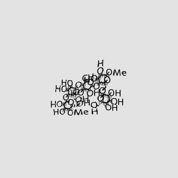 CO[C@H]1O[C@@H](CO[C@@H]2O[C@@H](CO)[C@@H](O)[C@@H](O)[C@@H]2O)[C@H](O[C@@H]2O[C@H](C)[C@@H](O[C@@H]3O[C@H](CO)[C@@H](O[C@@H]4O[C@H](CO)[C@@H](OC)[C@H](O)[C@@H]4O)[C@H](O)[C@@H]3O)[C@H](O)[C@@H]2O)[C@@H](O)[C@H]1O